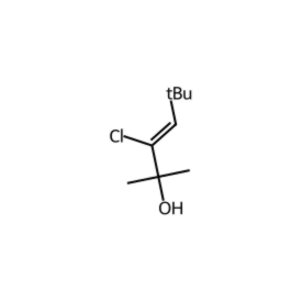 CC(C)(C)/C=C(\Cl)C(C)(C)O